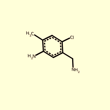 Cc1cc(Cl)c(CN)cc1N